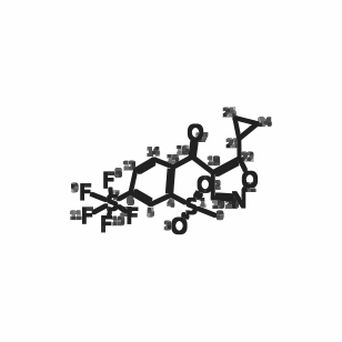 CS(=O)(=O)c1cc(S(F)(F)(F)(F)F)ccc1C(=O)c1cnoc1C1CC1